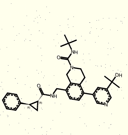 CC(C)(C)NC(=O)N1CCc2c(-c3cncc(C(C)(C)O)c3)ccc(CNC(=O)[C@@H]3C[C@H]3c3ccccc3)c2C1